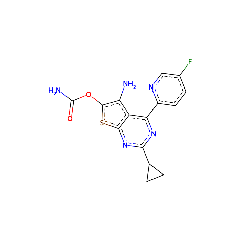 NC(=O)Oc1sc2nc(C3CC3)nc(-c3ccc(F)cn3)c2c1N